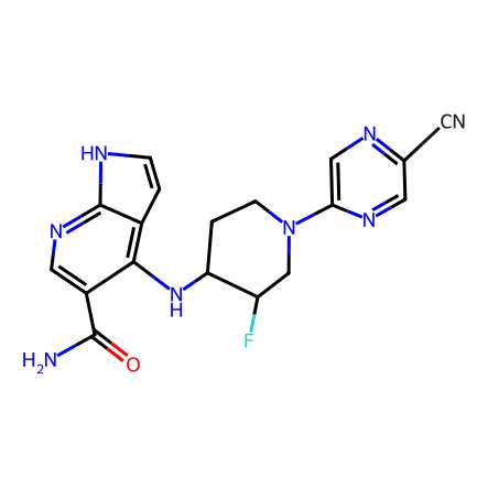 N#Cc1cnc(N2CCC(Nc3c(C(N)=O)cnc4[nH]ccc34)C(F)C2)cn1